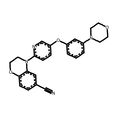 N#Cc1ccc2c(c1)N(c1ccc(Oc3cccc(N4CCOCC4)c3)cn1)CCO2